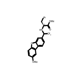 COC(=O)[C@H](CC(C)C)NC(c1ccc2c(c1)oc1ccc(OC)cc12)C(F)(F)F